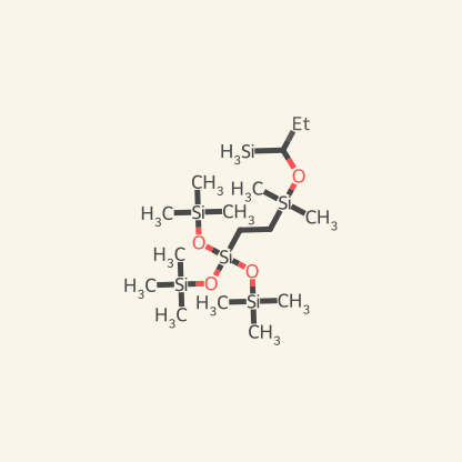 [CH2]CC([SiH3])O[Si](C)(C)CC[Si](O[Si](C)(C)C)(O[Si](C)(C)C)O[Si](C)(C)C